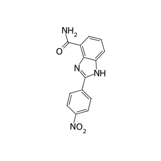 NC(=O)c1cccc2[nH]c(-c3ccc([N+](=O)[O-])cc3)nc12